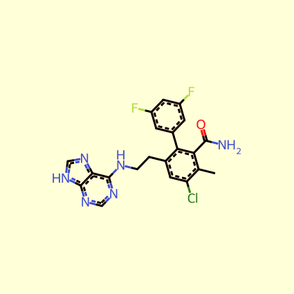 Cc1c(Cl)cc(CCNc2ncnc3[nH]cnc23)c(-c2cc(F)cc(F)c2)c1C(N)=O